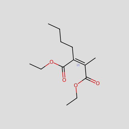 CCCC/C(C(=O)OCC)=C(\C)C(=O)OCC